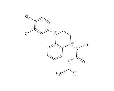 CC(Cl)OC(=O)N(C)[C@H]1CC[C@@H](c2ccc(Cl)c(Cl)c2)c2ccccc21